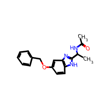 CC(=O)NC(C)c1nc2cc(OCc3ccccc3)ccc2[nH]1